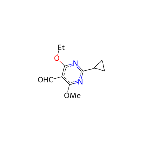 CCOc1nc(C2CC2)nc(OC)c1C=O